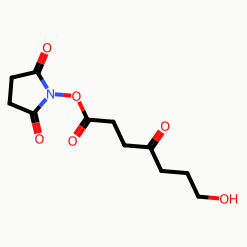 O=C(CCCO)CCC(=O)ON1C(=O)CCC1=O